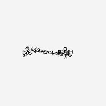 CCC(C)(C)C(=O)OCCOCCOCCOCCOC(=O)Oc1[nH]c(=O)[nH]c(=O)c1C